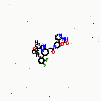 COC(C)(C)c1cnc2n1C[C@H](c1cccc(F)c1F)CC[C@H]2CC(=O)N1CCC2(CC1)OC(=O)Nc1ncccc12